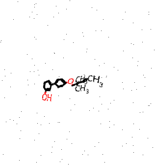 CC#CC(C)(C)COc1ccc(-c2cccc(O)c2)cc1